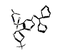 CN(C)/C=N\S(=O)(=O)c1cc(N=C(c2ccccc2)c2ccccc2)cnc1-c1cncc(C(F)(F)F)c1